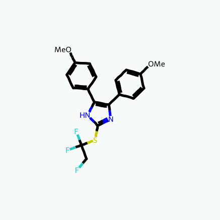 COc1ccc(-c2nc(SC(F)(F)CF)[nH]c2-c2ccc(OC)cc2)cc1